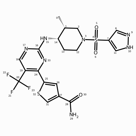 C[C@@H]1CN(S(=O)(=O)c2cn[nH]c2)CC[C@@H]1Nc1ncc(C(F)(F)F)c(-c2cc(C(N)=O)cs2)n1